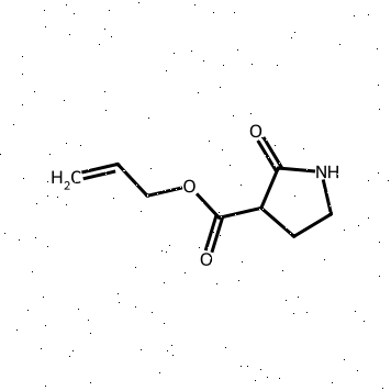 C=CCOC(=O)C1CCNC1=O